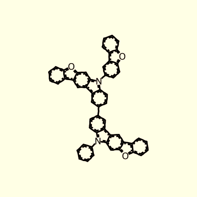 c1ccc(-n2c3ccc(-c4ccc5c(c4)c4cc6c(cc4n5-c4ccc5oc7ccccc7c5c4)oc4ccccc46)cc3c3cc4c(cc32)oc2ccccc24)cc1